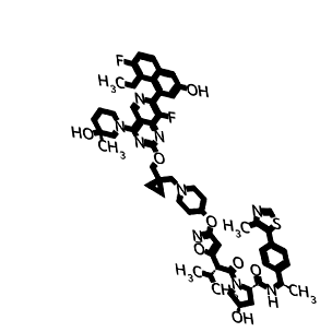 CCc1c(F)ccc2cc(O)cc(-c3ncc4c(N5CCC[C@@](C)(O)C5)nc(OCC5(CN6CCC(Oc7cc([C@H](C(=O)N8C[C@H](O)C[C@H]8C(=O)N[C@@H](C)c8ccc(-c9scnc9C)cc8)C(C)C)on7)CC6)CC5)nc4c3F)c12